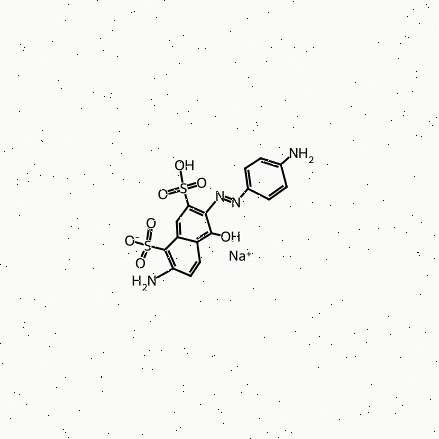 Nc1ccc(N=Nc2c(S(=O)(=O)O)cc3c(S(=O)(=O)[O-])c(N)ccc3c2O)cc1.[Na+]